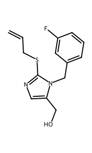 C=CCSc1ncc(CO)n1Cc1cccc(F)c1